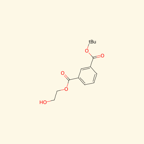 CC(C)(C)OC(=O)c1cccc(C(=O)OCCO)c1